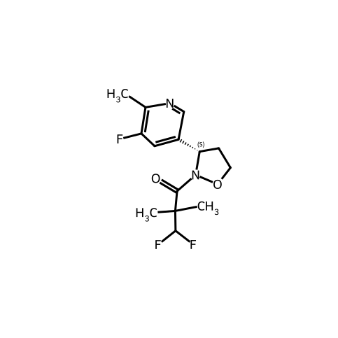 Cc1ncc([C@@H]2CCON2C(=O)C(C)(C)C(F)F)cc1F